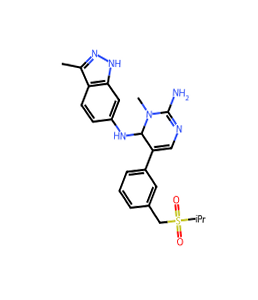 Cc1n[nH]c2cc(NC3C(c4cccc(CS(=O)(=O)C(C)C)c4)=CN=C(N)N3C)ccc12